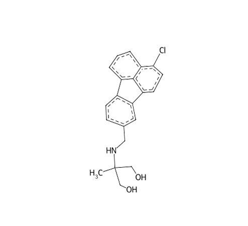 CC(CO)(CO)NCc1ccc2c(c1)-c1ccc(Cl)c3cccc-2c13